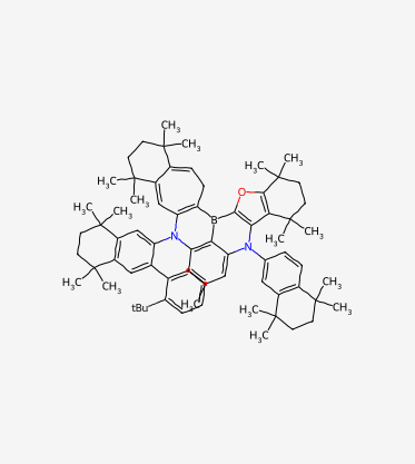 Cc1cc2c3c(c1)N(c1ccc4c(c1)C(C)(C)CCC4(C)C)c1c(oc4c1C(C)(C)CCC4(C)C)B3C1=C(C=C3C(=CC1)C(C)(C)CCC3(C)C)N2c1cc2c(cc1-c1ccccc1C(C)(C)C)C(C)(C)CCC2(C)C